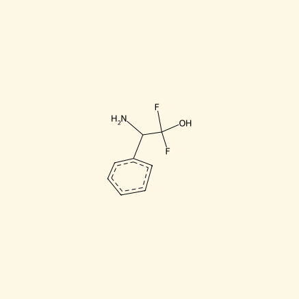 NC(c1ccccc1)C(O)(F)F